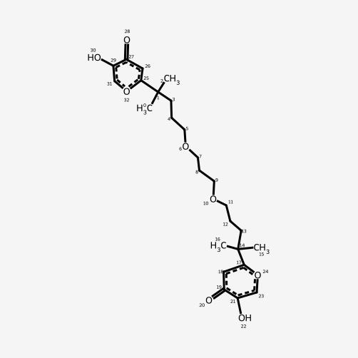 CC(C)(CCCOCCCOCCCC(C)(C)c1cc(=O)c(O)co1)c1cc(=O)c(O)co1